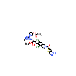 [C-]#[N+]/N=C(\NC[C@H](CC(=O)c1c(Cl)cc2c(c1Cl)CCN(C(=O)c1cc3[nH]ncc3s1)C2)C(=O)OC)N1CC[C@H](OC(C)=O)C1